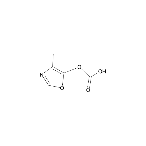 Cc1ncoc1OC(=O)O